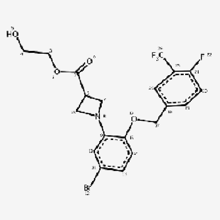 O=C(OCCO)C1CN(c2cc(Br)ccc2OCc2ccc(F)c(C(F)(F)F)c2)C1